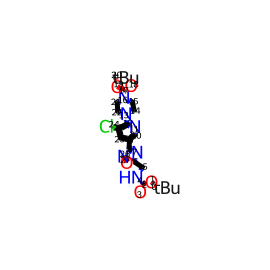 CC(C)(C)OC(=O)NCc1nc(-c2cnc(N3CCN(C(=O)OC(C)(C)C)CC3)c(Cl)c2)no1